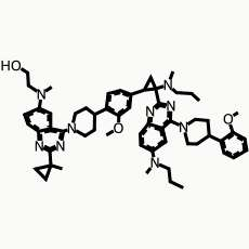 CCCN(C)c1ccc2nc(C3(N(C)CCC)CC3c3ccc(C4CCN(c5nc(C6(C)CC6)nc6ccc(N(C)CCO)cc56)CC4)c(OC)c3)nc(N3CCC(c4ccccc4OC)CC3)c2c1